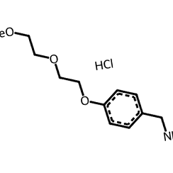 COCCOCCOc1ccc(CN)cc1.Cl